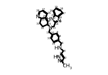 Cc1cc(CNCc2ccc(CN(Cc3nc4ccccc4[nH]3)C3C=C4C=CC=NC4CC3)cc2)[nH]n1